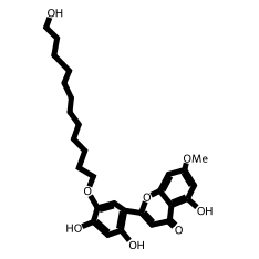 COc1cc(O)c2c(=O)cc(-c3cc(OCCCCCCCCCCCCO)c(O)cc3O)oc2c1